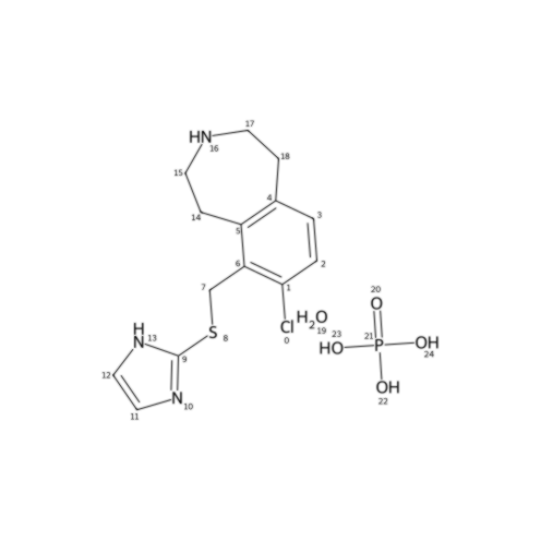 Clc1ccc2c(c1CSc1ncc[nH]1)CCNCC2.O.O=P(O)(O)O